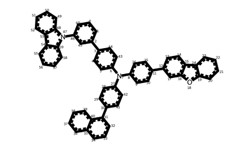 c1cc(-c2ccc(N(c3ccc(-c4ccc5c(c4)oc4ccccc45)cc3)c3ccc(-c4cccc5ccccc45)cc3)cc2)cc(-n2c3ccccc3c3ccccc32)c1